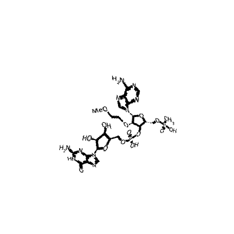 COCCO[C@H]1C(OP(=O)(O)OC[C@H]2O[C@@H](n3cnc4c(=O)[nH]c(N)nc43)[C@@H](O)C2O)[C@@H](COP(C)(=O)O)O[C@H]1n1cnc2c(N)ncnc21